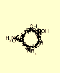 Cc1sc2nc1C(=O)NC(=O)c1nc(cs1)C(=O)N[C@@H](Cc1ccc(O)cc1)C(=O)N1C[C@H](O)[C@H](C)[C@H]1c1nc(cs1)-c1nc(cs1)-c1nc(C3=NC(C(N)=O)CS3)ccc1-c1nc(cs1)C(=O)N[C@H]2CC(N)=O